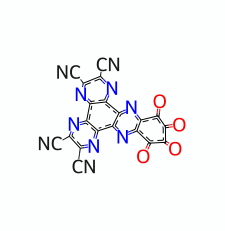 N#Cc1nc2c3nc(C#N)c(C#N)nc3c3nc4c(=O)c(=O)c(=O)c(=O)c4nc3c2nc1C#N